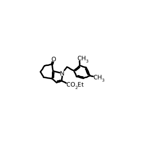 CCOC(=O)c1cc2c(n1Cc1ccc(C)cc1C)C(=O)CCC2